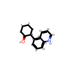 O=C1CCCCC1c1cccc2ncccc12